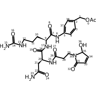 CC(=O)OCc1ccc(NC(=O)[C@H](CCCNC(N)=O)NC(=O)[C@H](CC(N)=O)NC(=O)CCN2C(=O)C=CC2O)cc1